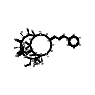 CC[C@H]1OC(=O)[C@H](C)C(=O)[C@H](C)[C@@H](C)[C@@]2(C)C[C@@H](C)/C(=N\C(C)=O)[C@H](C)[C@@H](OCC/C(=C\C=C\c3ccccc3)CO2)[C@]1(C)O